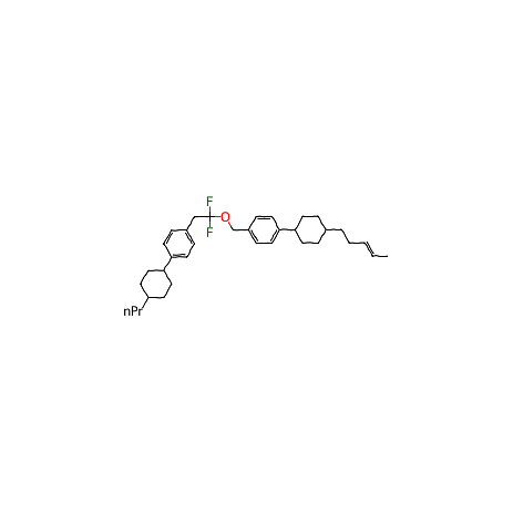 CC=CCCC1CCC(c2ccc(COC(F)(F)Cc3ccc(C4CCC(CCC)CC4)cc3)cc2)CC1